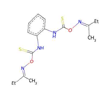 CCC(C)=NOC(=S)Nc1ccccc1NC(=S)ON=C(C)CC